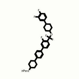 CCCCCC1CCC(c2ccc(-c3ccc(C(F)(F)OC4CCC(c5ccc(F)c(F)c5)CC4)c(F)c3)cc2)CC1